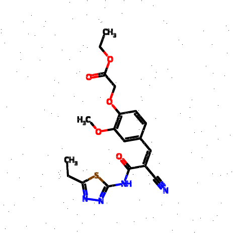 CCOC(=O)COc1ccc(C=C(C#N)C(=O)Nc2nnc(CC)s2)cc1OC